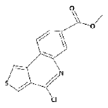 COC(=O)c1ccc2c(c1)nc(Cl)c1cscc12